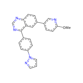 COc1ccc(-c2ccc3ncnc(-c4ccc(-n5cccn5)cc4)c3c2)cn1